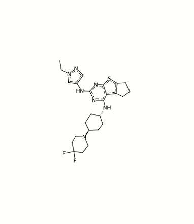 CCn1cc(Nc2nc(N[C@H]3CC[C@H](N4CCC(F)(F)CC4)CC3)c3c4c(sc3n2)CCC4)cn1